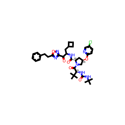 CC(C)(C)NC(=O)N[C@H](C(=O)N1C[C@H](Oc2ccc(Cl)cn2)C[C@H]1C(=O)NC(CC1CCC1)C(=O)c1noc(CCc2ccccc2)n1)C(C)(C)C